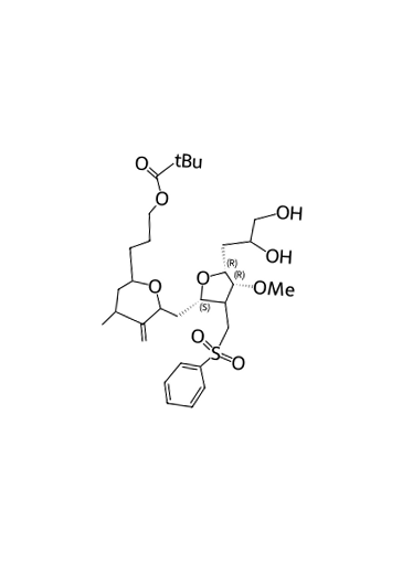 C=C1C(C)CC(CCCOC(=O)C(C)(C)C)OC1C[C@@H]1O[C@H](CC(O)CO)[C@H](OC)C1CS(=O)(=O)c1ccccc1